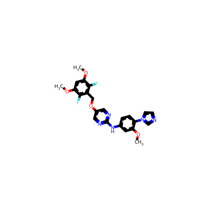 COc1cc(Nc2ncc(OCc3c(F)c(OC)cc(OC)c3F)cn2)ccc1-n1ccnc1